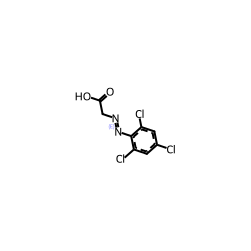 O=C(O)C/N=N/c1c(Cl)cc(Cl)cc1Cl